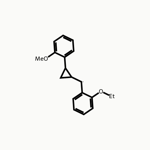 CCOc1ccccc1[CH]C1CC1c1ccccc1OC